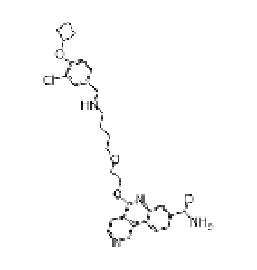 NC(=O)c1ccc2c(c1)nc(OCCOCCCCNCc1ccc(OC3CCC3)c(Cl)c1)c1ccncc12